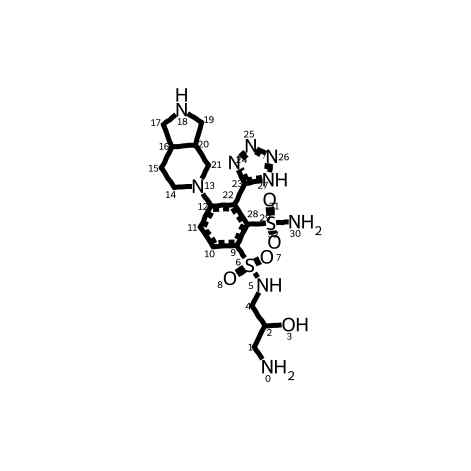 NCC(O)CNS(=O)(=O)c1ccc(N2CCC3CNCC3C2)c(-c2nnn[nH]2)c1S(N)(=O)=O